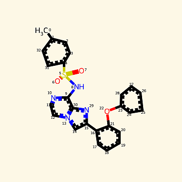 Cc1ccc(S(=O)(=O)Nc2nccn3cc(-c4ccccc4Oc4ccccc4)nc23)cc1